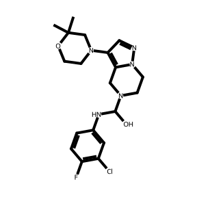 CC1(C)CN(c2cnn3c2CN(C(O)Nc2ccc(F)c(Cl)c2)CC3)CCO1